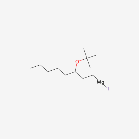 CCCCCC(C[CH2][Mg][I])OC(C)(C)C